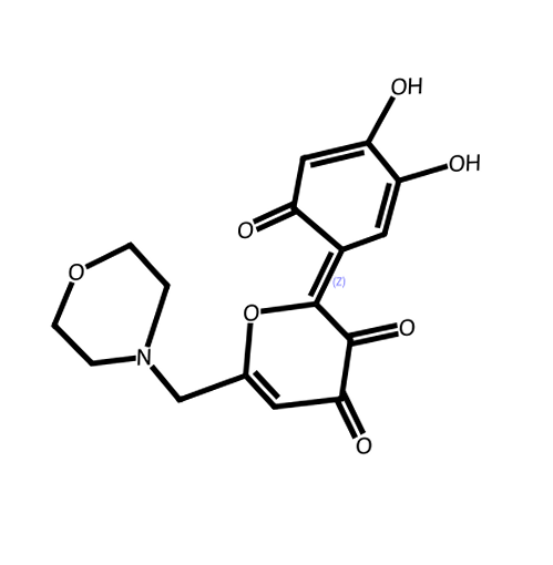 O=C1C=C(CN2CCOCC2)O/C(=C2/C=C(O)C(O)=CC2=O)C1=O